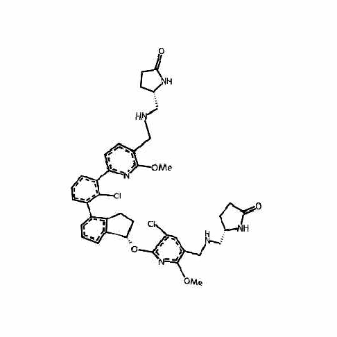 COc1nc(-c2cccc(-c3cccc4c3CC[C@@H]4Oc3nc(OC)c(CNC[C@@H]4CCC(=O)N4)cc3Cl)c2Cl)ccc1CNC[C@@H]1CCC(=O)N1